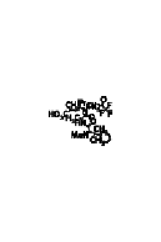 CNC(C(=O)NC(C)C(=O)N(C)C(C=C(C)C(=O)O)C(C)C)C(C)(C)c1ccccc1.O=C(O)C(F)(F)F